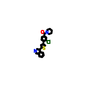 O=C(c1ccc(-c2csc(-c3cncc4ccccc34)c2)c(Cl)c1)N1CCCCC1